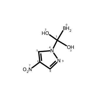 BC(O)(O)n1cc([N+](=O)[O-])cn1